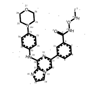 O=C(NOPI)c1cccc(-c2cn3ccnc3c(Nc3ccc(N4CCOCC4)cc3)n2)c1